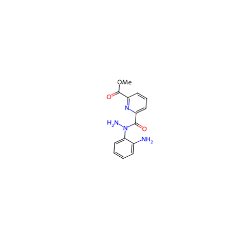 COC(=O)c1cccc(C(=O)N(N)c2ccccc2N)n1